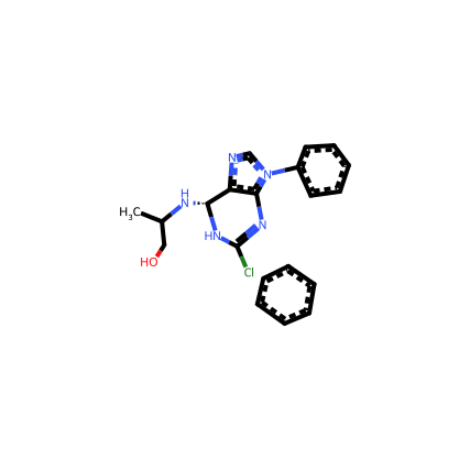 CC(CO)N[C@H]1NC(Cl)=Nc2c1ncn2-c1ccccc1.c1ccccc1